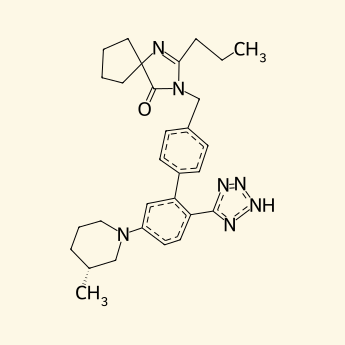 CCCC1=NC2(CCCC2)C(=O)N1Cc1ccc(-c2cc(N3CCC[C@@H](C)C3)ccc2-c2nn[nH]n2)cc1